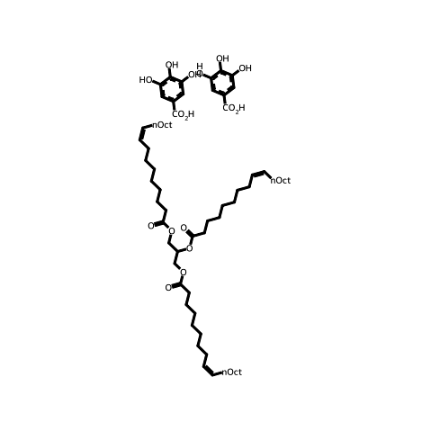 CCCCCCCC/C=C\CCCCCCCC(=O)OCC(COC(=O)CCCCCCC/C=C\CCCCCCCC)OC(=O)CCCCCCC/C=C\CCCCCCCC.O=C(O)c1cc(O)c(O)c(O)c1.O=C(O)c1cc(O)c(O)c(O)c1